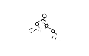 Cc1cc(NC(=O)c2c(NC(=O)c3cccc(C(=O)N(C)CCN4CCOCC4)c3)sc3c2CCCC3)ccc1CCc1ccc(C(=O)N(CCO)CCO)cc1